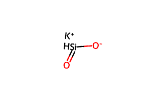 O=[SiH][O-].[K+]